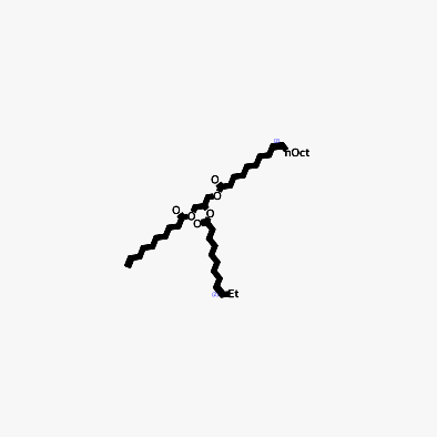 C=CCCCCCCCC(=O)OCC(COC(=O)CCCCCCC/C=C\CCCCCCCC)OC(=O)CCCCCCC/C=C\CC